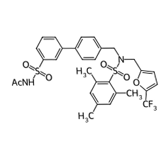 CC(=O)NS(=O)(=O)c1cccc(-c2ccc(CN(Cc3ccc(C(F)(F)F)o3)S(=O)(=O)c3c(C)cc(C)cc3C)cc2)c1